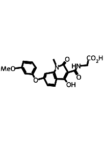 COc1cccc(Oc2ccc3c(O)c(C(=O)NCC(=O)O)c(=O)n(C)c3c2)c1